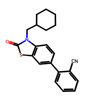 N#Cc1ccccc1-c1ccc2c(c1)sc(=O)n2CC1CCCCC1